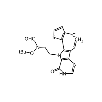 C=Cc1c(-c2sccc2Cl)n(CCN(C=O)OC(C)(C)C)c2c(=O)[nH]cnc12